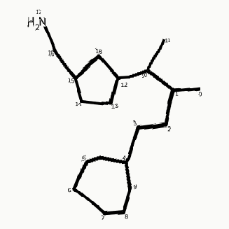 CC(CCC1CCCCC1)C(C)C1CCC(CN)C1